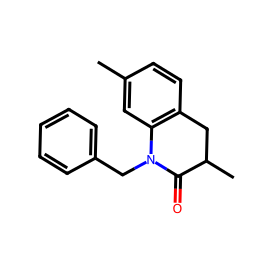 Cc1ccc2c(c1)N(Cc1ccccc1)C(=O)C(C)C2